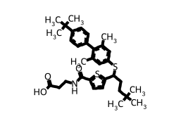 Cc1cc(SC(CCC(C)(C)C)c2ccc(C(=O)NCCC(=O)O)s2)cc(C)c1-c1ccc(C(C)(C)C)cc1